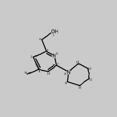 Cc1cc(CO)nc(N2CCCCC2)c1